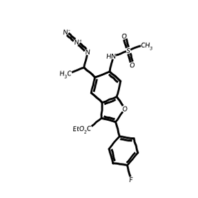 CCOC(=O)c1c(-c2ccc(F)cc2)oc2cc(NS(C)(=O)=O)c(C(C)N=[N+]=[N-])cc12